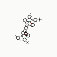 Cc1ccc(C)c(N(c2ccc(C(C)(C)C)cc2-c2ccccc2)c2ccc3c4cc5c(cc4n4c6ccccc6c2c34)c2ccc(N(c3cc(C)ccc3C)c3ccc(C(C)(C)C)cc3-c3ccccc3)c3c4ccccc4n5c23)c1